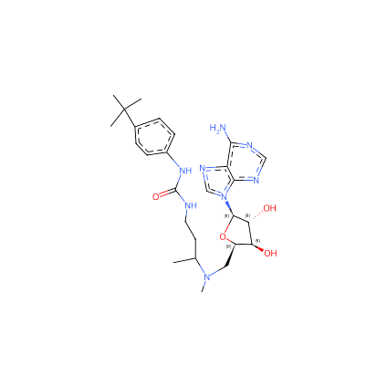 CC(CCNC(=O)Nc1ccc(C(C)(C)C)cc1)N(C)C[C@H]1O[C@@H](n2cnc3c(N)ncnc32)[C@H](O)[C@H]1O